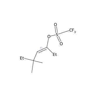 CC/C(=C\C(C)(C)CC)OS(=O)(=O)C(F)(F)F